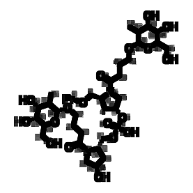 CC(C)OC[C@@H]1C[C@@H](OP(=O)(O)OC[C@@H]2C[C@@H](O)CN2C(=O)CCCO[C@@H]2OC(CO)[C@H](O)[C@H](O)C2C)CN1C(=O)CCCO[C@@H]1OC(CO)[C@H](O)[C@H](O)C1C